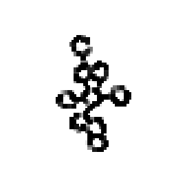 c1ccc(-c2cc(-c3cncc4c3ccc3ccccc34)c(-c3ccccc3)c3c2-c2cccc4c(-c5ccccc5)ccc-3c24)cc1